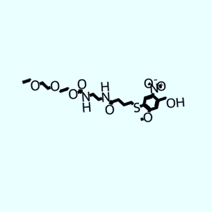 CCOCCOCCOC(=O)NCCNC(=O)CCCSc1cc([N+](=O)[O-])c(CO)cc1OC